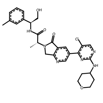 Cc1cccc([C@@H](CO)NC(=O)[C@@H](C)N2Cc3ncc(-c4nc(NC5CCOCC5)ncc4Cl)cc3C2=O)c1